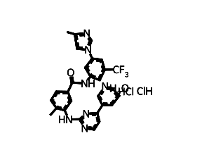 Cc1cn(-c2cc(NC(=O)c3ccc(C)c(Nc4nccc(-c5cccnc5)n4)c3)cc(C(F)(F)F)c2)cn1.Cl.Cl.O